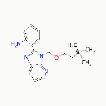 C[Si](C)(C)CCOCn1c(-c2ccccc2N)nc2cccnc21